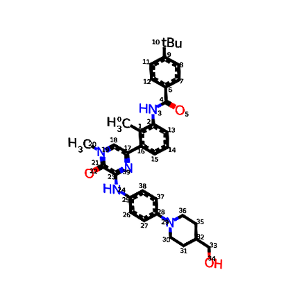 Cc1c(NC(=O)c2ccc(C(C)(C)C)cc2)cccc1-c1cn(C)c(=O)c(Nc2ccc(N3CCC(CO)CC3)cc2)n1